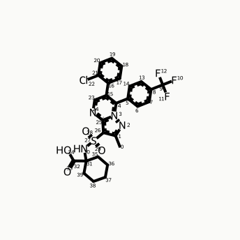 Cc1nn2c(-c3ccc(C(F)(F)F)cc3)c(-c3ccccc3Cl)cnc2c1S(=O)(=O)NC1(C(=O)O)CCCCC1